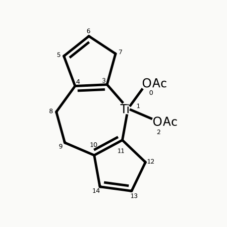 CC(=O)[O][Ti]1([O]C(C)=O)[C]2=C(C=CC2)CCC2=[C]1CC=C2